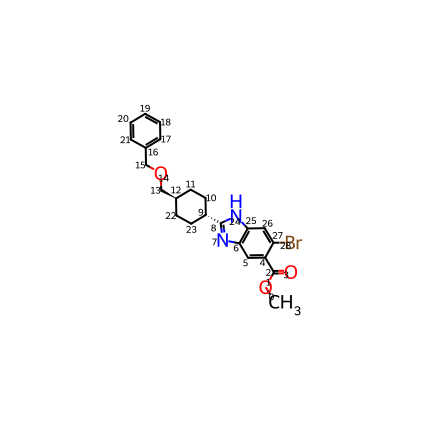 COC(=O)c1cc2nc([C@H]3CC[C@H](COCc4ccccc4)CC3)[nH]c2cc1Br